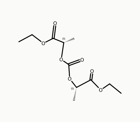 CCOC(=O)[C@H](C)OC(=O)O[C@@H](C)C(=O)OCC